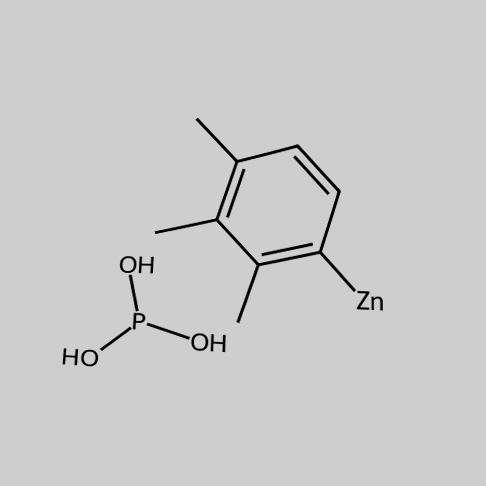 Cc1cc[c]([Zn])c(C)c1C.OP(O)O